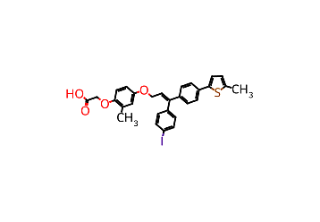 Cc1ccc(-c2ccc(C(=CCOc3ccc(OCC(=O)O)c(C)c3)c3ccc(I)cc3)cc2)s1